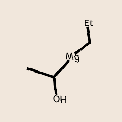 CC[CH2][Mg][CH](C)O